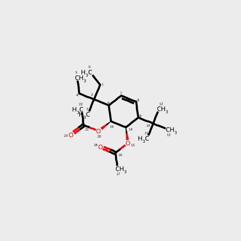 CCC(C)(CC)C1C=CC(C(C)(C)C)[C@@H](OC(C)=O)[C@H]1OC(C)=O